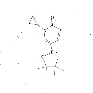 CC1(C)CB(c2ccc(=O)n(C3CC3)c2)OC1(C)C